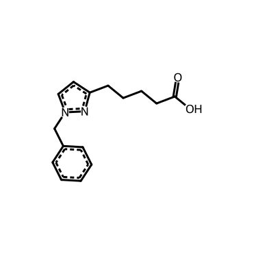 O=C(O)CCCCc1ccn(Cc2ccccc2)n1